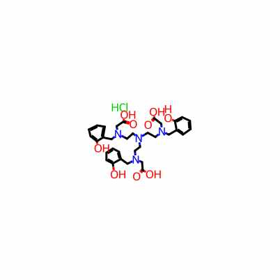 Cl.O=C(O)CN(CCN(CCN(CC(=O)O)Cc1ccccc1O)CCN(CC(=O)O)Cc1ccccc1O)Cc1ccccc1O